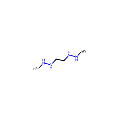 CCCNNCCNNCCC